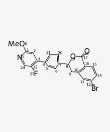 COc1cc(-c2ccc(C3Cc4cc(Br)ccc4C(=O)O3)cc2)c(F)cn1